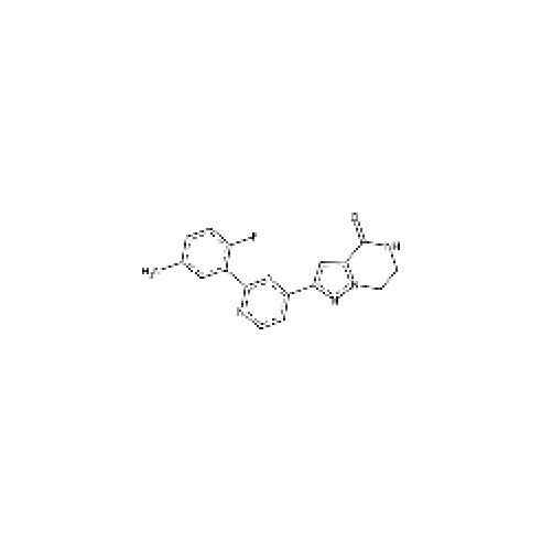 Nc1ccc(F)c(-c2nccc(-c3cc4n(n3)CCNC4=O)n2)c1